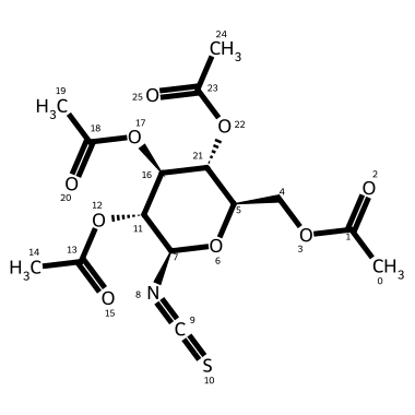 CC(=O)OC[C@H]1O[C@@H](N=C=S)[C@H](OC(C)=O)[C@@H](OC(C)=O)[C@@H]1OC(C)=O